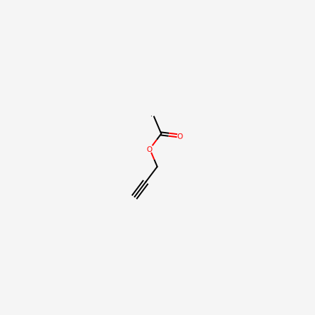 C#CCOC([CH2])=O